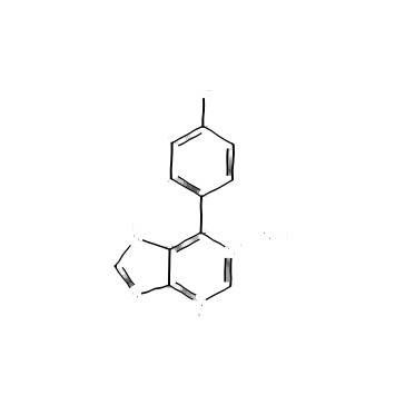 Oc1ccc(-c2ncnc3nc[nH]c23)cc1.[NaH]